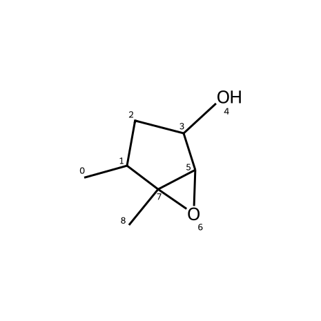 CC1CC(O)C2OC12C